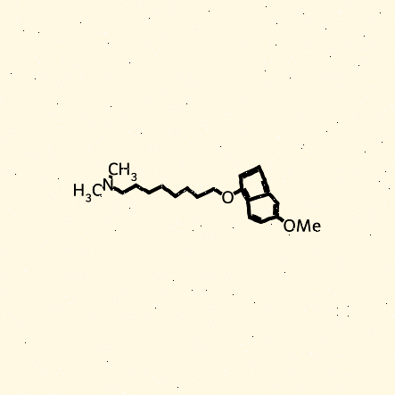 COc1ccc2c(OCCCCCCCCN(C)C)cccc2c1